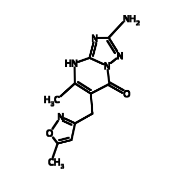 Cc1cc(Cc2c(C)[nH]c3nc(N)nn3c2=O)no1